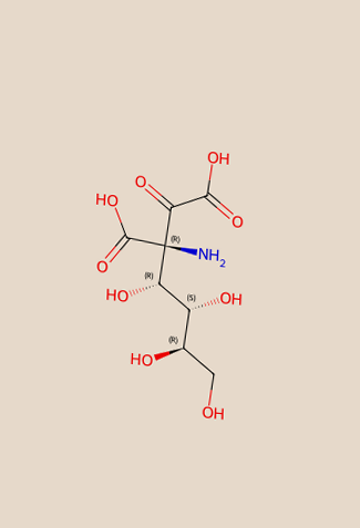 N[C@@](C(=O)O)(C(=O)C(=O)O)[C@@H](O)[C@H](O)[C@H](O)CO